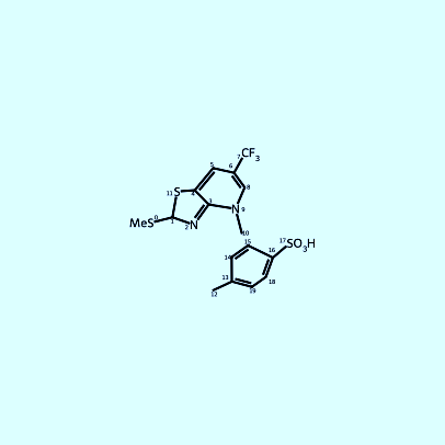 CSC1N=C2C(=CC(C(F)(F)F)=CN2C)S1.Cc1ccc(S(=O)(=O)O)cc1